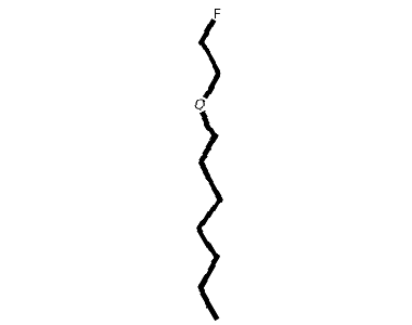 CCCCCCCOCCF